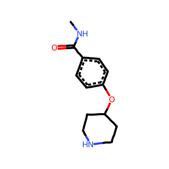 CNC(=O)c1ccc(OC2CCNCC2)cc1